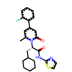 Cc1cc(-c2ccccc2F)cc(=O)n1[C@@H](CC1CCCCC1)C(=O)Nc1nccs1